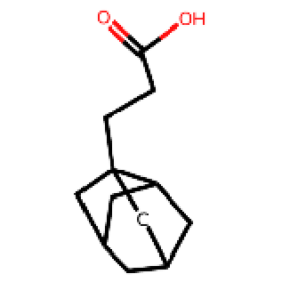 O=C(O)CCC12CC3CC(CC1C3)C2